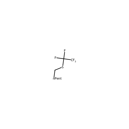 [CH2]CCCCCSC(F)(F)C(F)(F)F